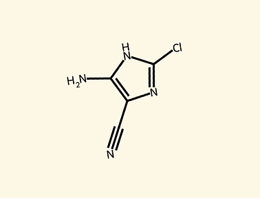 N#Cc1nc(Cl)[nH]c1N